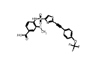 COc1cc(C(=O)O)ccc1NS(=O)(=O)c1csc(C#Cc2ccc(OC(F)(F)F)cc2)n1